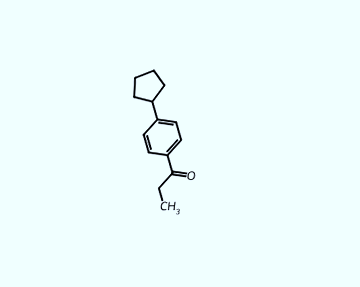 CCC(=O)c1ccc(C2CCCC2)cc1